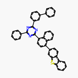 c1ccc(-c2cccc(-c3nc(-c4ccccc4)nc(-c4ccc(-c5ccc6c(c5)sc5ccccc56)c5ccccc45)n3)c2)cc1